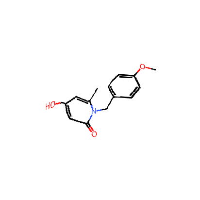 COc1ccc(Cn2c(C)cc(O)cc2=O)cc1